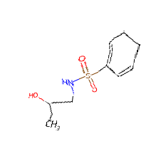 CC(O)CNS(=O)(=O)C1=C[CH]CC=C1